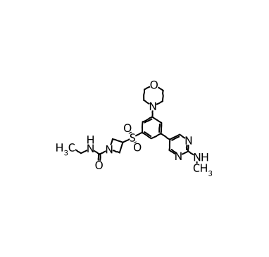 CCNC(=O)N1CC(S(=O)(=O)c2cc(-c3cnc(NC)nc3)cc(N3CCOCC3)c2)C1